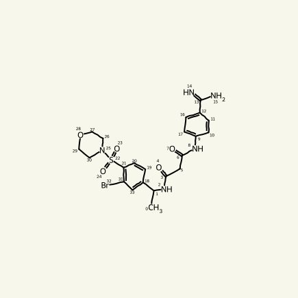 CC(NC(=O)CC(=O)Nc1ccc(C(=N)N)cc1)c1ccc(S(=O)(=O)N2CCOCC2)c(Br)c1